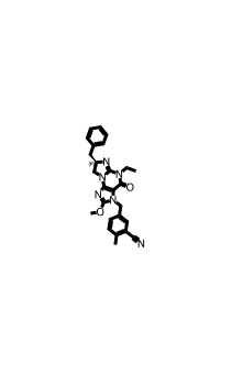 CCN1C(=O)c2c(nc(OC)n2Cc2ccc(C)c(C#N)c2)N2C[C@@H](Cc3ccccc3)N=C12